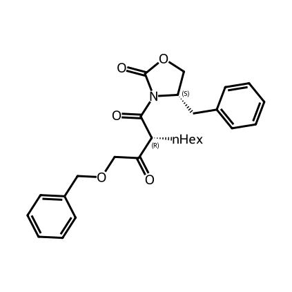 CCCCCC[C@H](C(=O)COCc1ccccc1)C(=O)N1C(=O)OC[C@@H]1Cc1ccccc1